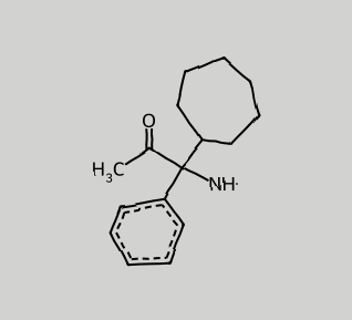 CC(=O)C([NH])(c1ccccc1)C1CCCCCC1